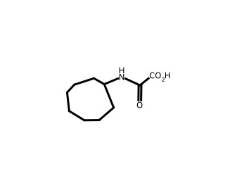 O=C(O)C(=O)NC1CCCCCCC1